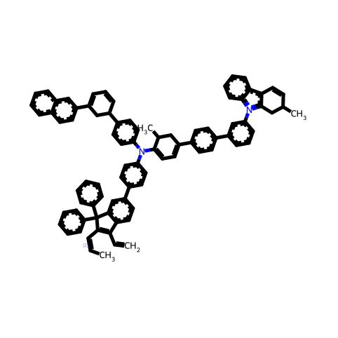 C=CC1=C(/C=C\C)C(c2ccccc2)(c2ccccc2)c2cc(-c3ccc(N(C4=CC=C(c5ccc(-c6cccc(-n7c8c(c9ccccc97)C=CC(C)C8)c6)cc5)CC4C)c4ccc(C5C=CC=C(c6ccc7ccccc7c6)C5)cc4)cc3)ccc21